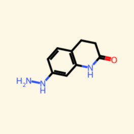 NNc1ccc2c(c1)NC(=O)CC2